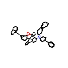 c1ccc(-c2ccc(N(c3ccc4c(c3)C3(c5ccccc5Oc5cc(-c6cccc7ccccc67)ccc53)c3ccccc3-4)c3ccc4ccccc4c3)cc2)cc1